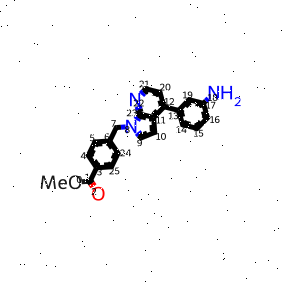 COC(=O)c1ccc(Cn2ccc3c(-c4cccc(N)c4)ccnc32)cc1